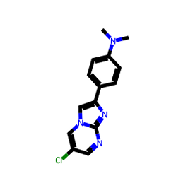 CN(C)c1ccc(-c2cn3cc(Cl)cnc3n2)cc1